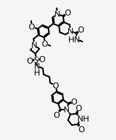 CNC(=O)N1CCc2c(-c3cc(OC)c(CN4CC(S(=O)(=O)NCCCCOc5ccc6c(c5)C(=O)N(C5CCC(=O)NC5=O)C6=O)C4)c(OC)c3)cn(C)c(=O)c2C1